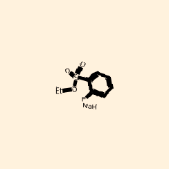 CCOS(=O)(=O)c1ccccc1F.[NaH]